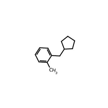 Cc1ccccc1CC1CCCC1